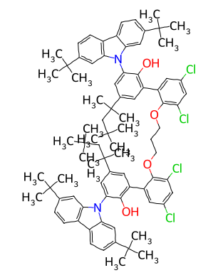 CC(C)(C)CC(C)(C)c1cc(-c2cc(Cl)cc(Cl)c2OCCCOc2c(Cl)cc(Cl)cc2-c2cc(C(C)(C)CC(C)(C)C)cc(-n3c4cc(C(C)(C)C)ccc4c4ccc(C(C)(C)C)cc43)c2O)c(O)c(-n2c3cc(C(C)(C)C)ccc3c3ccc(C(C)(C)C)cc32)c1